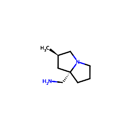 C[C@H]1CN2CCC[C@@]2(CN)C1